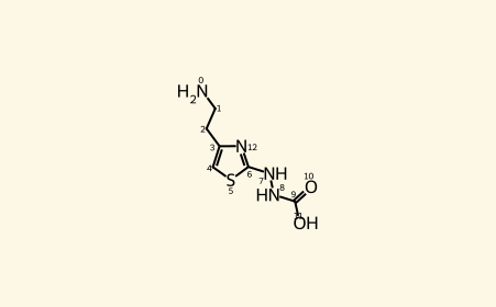 NCCc1csc(NNC(=O)O)n1